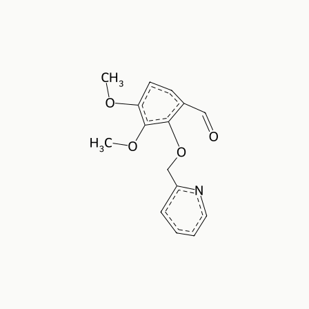 COc1ccc(C=O)c(OCc2ccccn2)c1OC